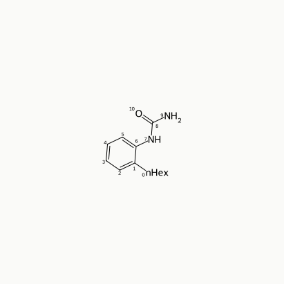 [CH2]CCCCCc1ccccc1NC(N)=O